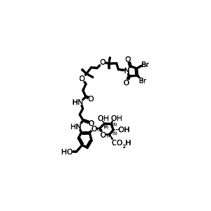 CC(C)(CCOC(C)(C)CCN1C(=O)C(Br)=C(Br)C1=O)OCCC(=O)NCCC(=O)Nc1cc(CO)ccc1O[C@@H]1O[C@H](C(=O)O)[C@@H](O)[C@H](O)[C@H]1O